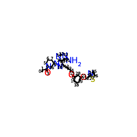 C=CC(=O)N1CCCC(n2nc(C#CCOc3cccc(OCc4nccs4)c3)c3c(N)ncnc32)C1